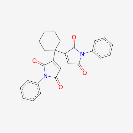 O=C1C=C(C2(C3=CC(=O)N(c4ccccc4)C3=O)CCCCC2)C(=O)N1c1ccccc1